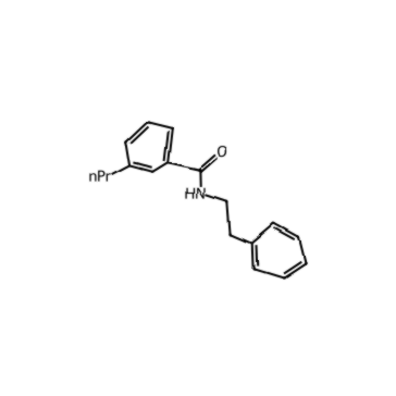 CCCc1cccc(C(=O)NCCc2ccccc2)c1